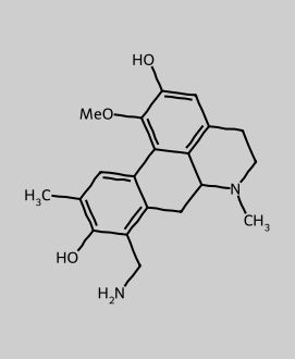 COc1c(O)cc2c3c1-c1cc(C)c(O)c(CN)c1CC3N(C)CC2